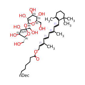 CCCCCCCCCCCCCCCC(=O)OC/C=C(C)/C=C/C=C(C)/C=C/C1=C(C)CCCC1(C)C.OC[C@H]1O[C@@](CO)(O[C@H]2O[C@H](CO)[C@@H](O)[C@H](O)[C@H]2O)[C@@H](O)[C@@H]1O